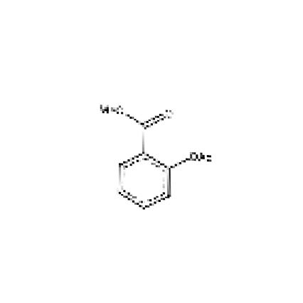 [CH2]C(=O)Oc1ccccc1C(=O)OC